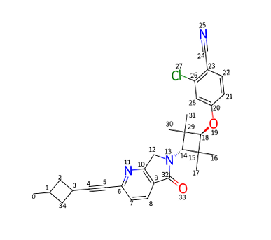 CC1CC(C#Cc2ccc3c(n2)CN([C@H]2C(C)(C)[C@H](Oc4ccc(C#N)c(Cl)c4)C2(C)C)C3=O)C1